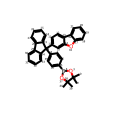 CC1(C)OB(c2ccc(C3(c4ccc5c(c4)oc4ccccc45)c4ccccc4-c4ccccc43)cc2)OC1(C)C